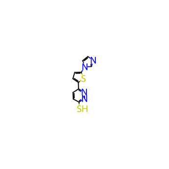 Sc1ccc(-c2ccc(-n3ccnc3)s2)nn1